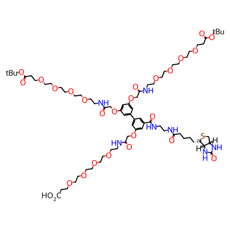 CC(C)(C)OC(=O)CCOCCOCCOCCOCCNC(=O)COc1cc(OCC(=O)NCCOCCOCCOCCOCCC(=O)OC(C)(C)C)cc(-c2cc(OCC(=O)NCCOCCOCCOCCOCCC(=O)O)cc(C(=O)NCCNC(=O)CCCC[C@@H]3SC[C@@H]4NC(=O)N[C@@H]43)c2)c1